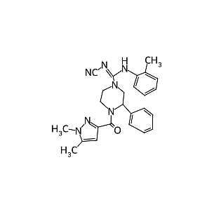 Cc1ccccc1N/C(=N/C#N)N1CCN(C(=O)c2cc(C)n(C)n2)C(c2ccccc2)C1